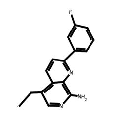 [CH2]Cc1cnc(N)c2nc(-c3cccc(F)c3)ccc12